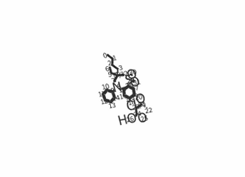 CCCC[C@]1(CC)CN(c2ccccc2)c2cc(Cl)c(O[C@H](C)CC(=O)O)cc2S(=O)(=O)C1